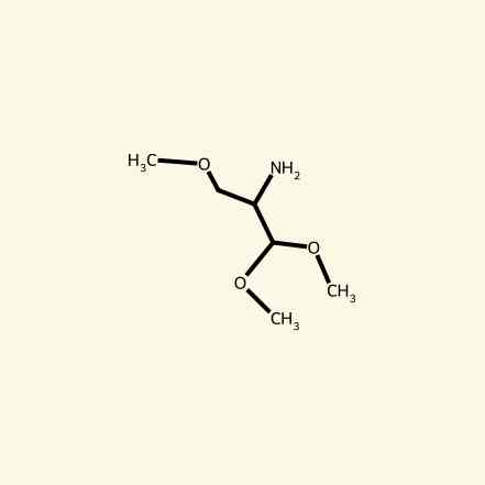 COCC(N)C(OC)OC